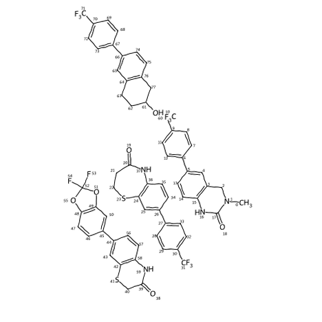 CN1Cc2cc(-c3ccc(C(F)(F)F)cc3)ccc2NC1=O.O=C1CCSc2cc(-c3ccc(C(F)(F)F)cc3)ccc2N1.O=C1CSc2cc(-c3ccc4c(c3)OC(F)(F)O4)ccc2N1.OC1CCc2cc(-c3ccc(C(F)(F)F)cc3)ccc2C1